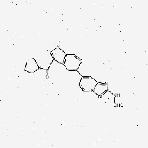 Cn1cc(C(=O)N2CCCC2)c2cc(-c3ccn4nc(NC=O)nc4c3)ccc21